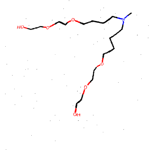 CN(CCCCOCCOCCO)CCCCOCCOCCO